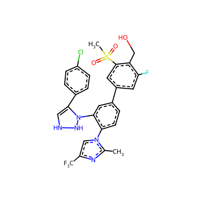 Cc1nc(C(F)(F)F)cn1-c1ccc(-c2cc(F)c(CO)c(S(C)(=O)=O)c2)cc1N1NNC=C1c1ccc(Cl)cc1